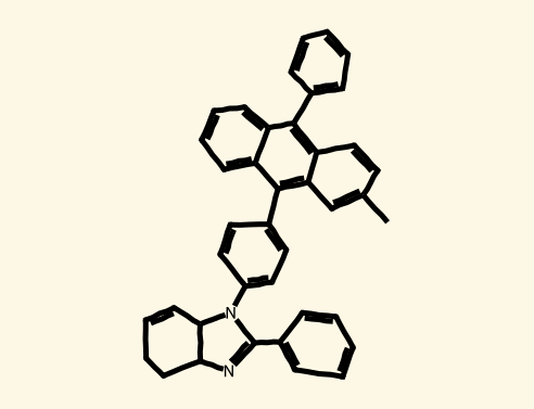 Cc1ccc2c(-c3ccccc3)c3ccccc3c(-c3ccc(N4C(c5ccccc5)=NC5CCC=CC54)cc3)c2c1